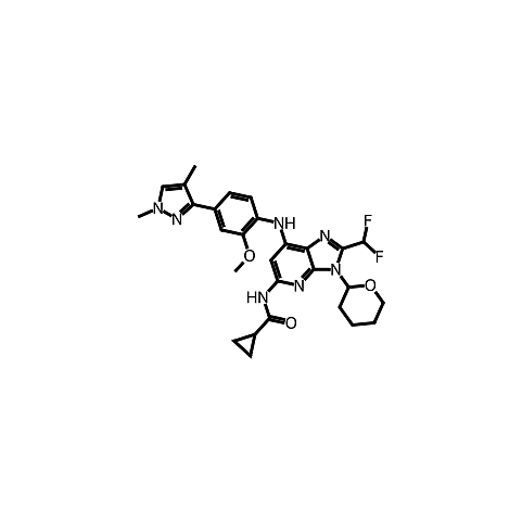 COc1cc(-c2nn(C)cc2C)ccc1Nc1cc(NC(=O)C2CC2)nc2c1nc(C(F)F)n2C1CCCCO1